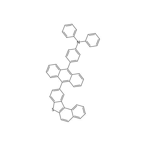 c1ccc(N(c2ccccc2)c2ccc(-c3c4ccccc4c(-c4ccc5sc6ccc7ccccc7c6c5c4)c4ccccc34)cc2)cc1